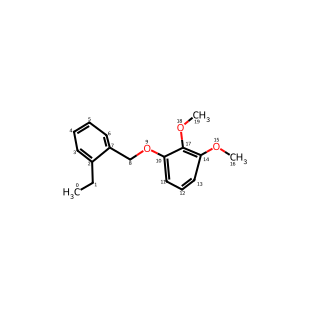 CCc1ccccc1COc1cccc(OC)c1OC